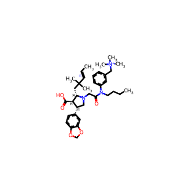 C/C=C/C(C)(C)C[C@H]1[C@H](C(=O)O)[C@@H](c2ccc3c(c2)OCO3)CN1CC(=O)N(CCCC)c1cccc(C[N+](C)(C)C)c1